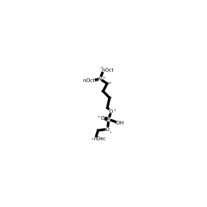 CCCCCCCCCCCOP(=O)(O)OCCCCN(CCCCCCCC)CCCCCCCC